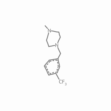 CN1CCN(Cc2cccc(C(F)(F)F)c2)CC1